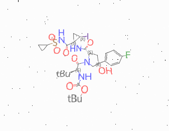 CC(C)(C)OC(=O)N[C@H](C(=O)N1C[C@](O)(c2ccc(F)cc2)C[C@H]1C(=O)N[C@]1(C(=O)NS(=O)(=O)C2CC2)C[C@H]1I)C(C)(C)C